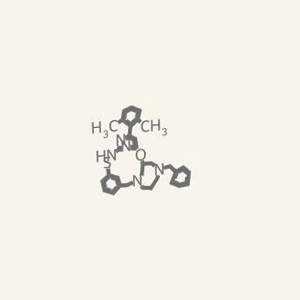 Cc1cccc(C)c1-c1cc2nc(n1)NSc1cccc(c1)CN1CCCN(Cc3ccccc3)CC(C1)O2